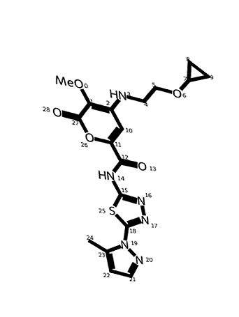 COc1c(NCCOC2CC2)cc(C(=O)Nc2nnc(-n3nccc3C)s2)oc1=O